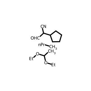 CCCC.CCOC(C)OCC.N#CC(C=O)C1CCCC1